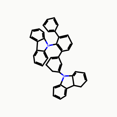 C1=CCC2C(=C1)N(C1=CC(c3cccc(-c4ccccc4)c3-n3c4ccccc4c4ccccc43)=CCC1)c1ccccc12